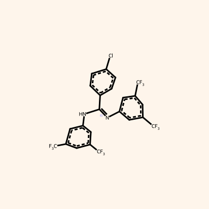 FC(F)(F)c1cc(/N=C(/Nc2cc(C(F)(F)F)cc(C(F)(F)F)c2)c2ccc(Cl)cc2)cc(C(F)(F)F)c1